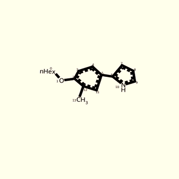 CCCCCCOc1ccc(-c2ccc[nH]2)cc1C